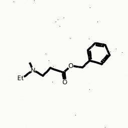 CCN(C)CCC(=O)OCc1ccccc1